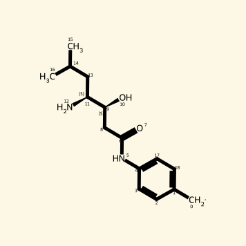 [CH2]c1ccc(NC(=O)C[C@H](O)[C@@H](N)CC(C)C)cc1